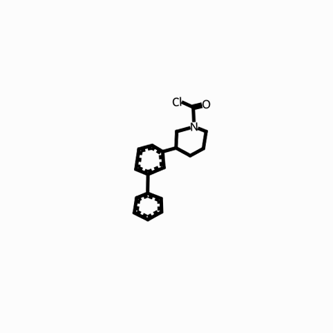 O=C(Cl)N1CCCC(c2cccc(-c3ccccc3)c2)C1